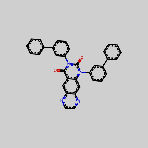 O=c1c2cc3nccnc3cc2n(-c2cccc(-c3ccccc3)c2)c(=O)n1-c1cccc(-c2ccccc2)c1